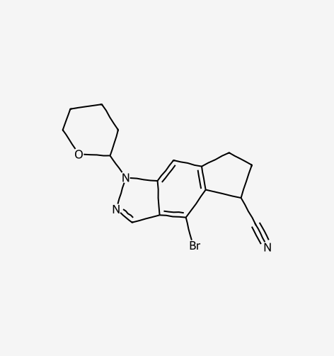 N#CC1CCc2cc3c(cnn3C3CCCCO3)c(Br)c21